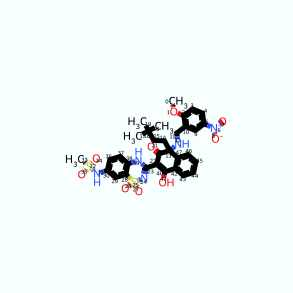 COc1ccc([N+](=O)[O-])cc1CNC1(CCC(C)(C)C)C(=O)C(C2=NS(=O)(=O)c3cc(NS(C)(=O)=O)ccc3N2)=C(O)c2ccccc21